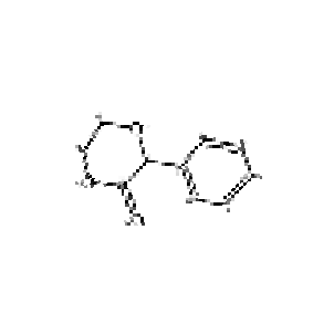 O=C1OCCOC1c1ccccc1